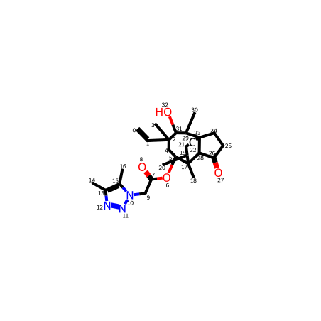 C=CC1(C)CC(OC(=O)Cn2nnc(C)c2C)C2(C)C(C)CCC3(CCC(=O)C32)C(C)C1O